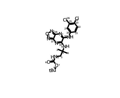 CC(C)(CNC(=O)OC(C)(C)C)Nc1nc2nonc2nc1Nc1ccc(Cl)c(Cl)c1